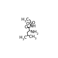 CCS(=O)(=O)NC(=O)[C@@H](N)CC(C)C